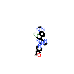 Cc1nc(N2CCC3(CC2)CO[C@@H](C)C3)n2ccnc2c1-c1ccc2nccnc2c1Cl